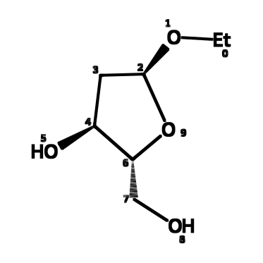 CCO[C@@H]1C[C@H](O)[C@@H](CO)O1